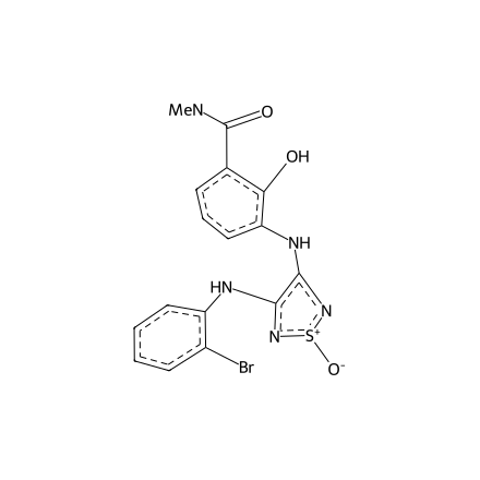 CNC(=O)c1cccc(Nc2n[s+]([O-])nc2Nc2ccccc2Br)c1O